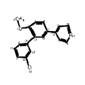 COc1ccc(-c2ccncc2)cc1-c1cccc(Cl)c1